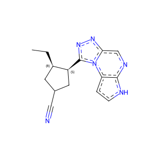 CC[C@@H]1CC(C#N)C[C@@H]1c1nnc2cnc3[nH]ccc3n12